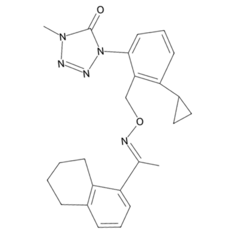 CC(=NOCc1c(C2CC2)cccc1-n1nnn(C)c1=O)c1cccc2c1CCCC2